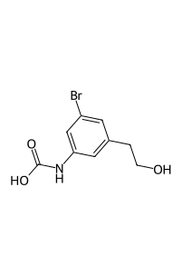 O=C(O)Nc1cc(Br)cc(CCO)c1